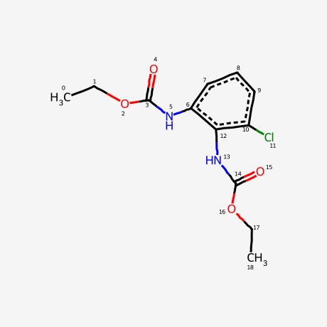 CCOC(=O)Nc1cccc(Cl)c1NC(=O)OCC